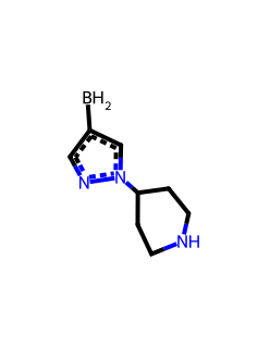 Bc1cnn(C2CCNCC2)c1